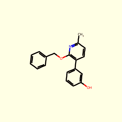 Cc1ccc(-c2cccc(O)c2)c(OCc2ccccc2)n1